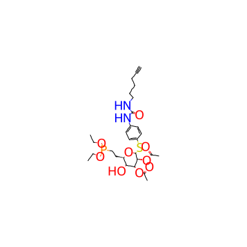 C#CCCCCNC(=O)Nc1ccc(S[C@@H]2O[C@H](CCP(OCC)OCC)[C@@H](O)[C@H](OC(C)=O)[C@@H]2OC(C)=O)cc1